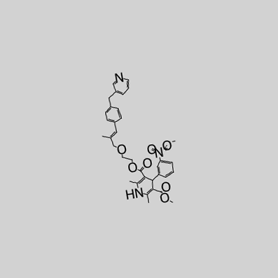 COC(=O)C1=C(C)NC(C)=C(C(=O)OCCOCC(C)=Cc2ccc(Cc3cccnc3)cc2)C1c1cccc([N+](=O)[O-])c1